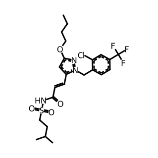 CCCCOc1cc(C=CC(=O)NS(=O)(=O)CCC(C)C)n(Cc2ccc(C(F)(F)F)cc2Cl)n1